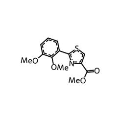 COC(=O)c1csc(-c2cccc(OC)c2OC)n1